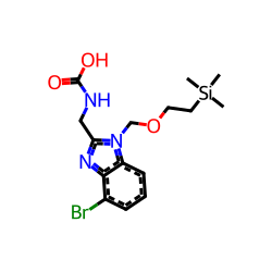 C[Si](C)(C)CCOCn1c(CNC(=O)O)nc2c(Br)cccc21